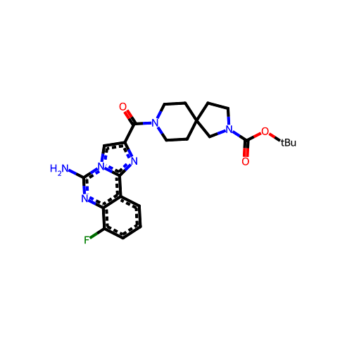 CC(C)(C)OC(=O)N1CCC2(CCN(C(=O)c3cn4c(N)nc5c(F)cccc5c4n3)CC2)C1